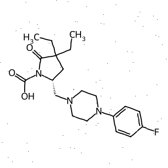 CCC1(CC)C[C@H](CN2CCN(c3ccc(F)cc3)CC2)N(C(=O)O)C1=O